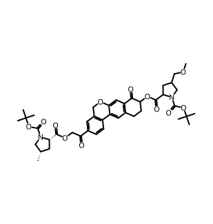 COCC1CC(C(=O)OC2CCc3cc4c(cc3C2=O)OCc2cc(C(=O)COC(=O)[C@@H]3C[C@H](C)CN3C(=O)OC(C)(C)C)ccc2-4)N(C(=O)OC(C)(C)C)C1